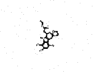 CCOC(=O)CC1CC2(Cc3c1n(C)c1c(Cl)c(Cl)cc(Br)c31)OCCO2